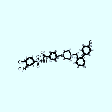 O=C(NS(=O)(=O)c1ccc(Cl)c([N+](=O)[O-])c1)c1ccc(N2CCN(Cc3ccccc3-c3ccc(Cl)cc3)CC2)cc1